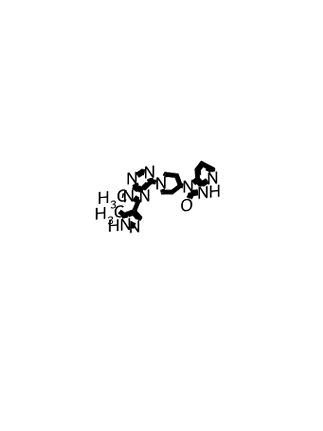 Cc1[nH]ncc1-c1nc2c(N3CCC(n4c(=O)[nH]c5ncccc54)CC3)ncnc2n1C